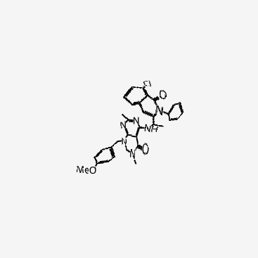 COc1ccc(CN2CN(C)C(=O)c3c(NC(C)c4cc5cccc(Cl)c5c(=O)n4-c4ccccc4)nc(C)nc32)cc1